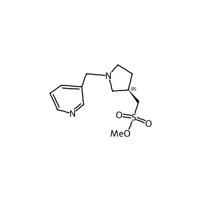 COS(=O)(=O)C[C@@H]1CCN(Cc2cccnc2)C1